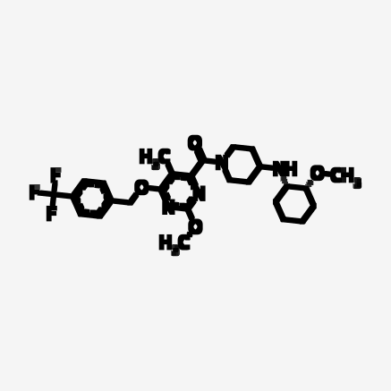 COc1nc(OCc2ccc(C(F)(F)F)cc2)c(C)c(C(=O)N2CCC(N[C@H]3CCCC[C@H]3OC)CC2)n1